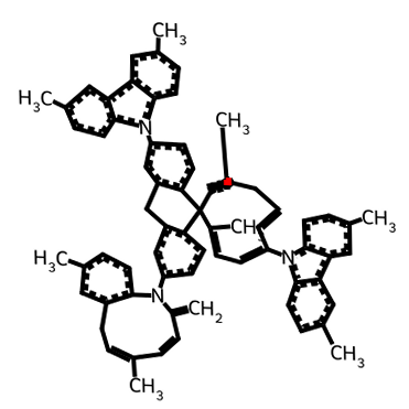 C=C1/C=C\C(C)=C/Cc2cc(C)ccc2N1c1ccc2c(c1)Cc1cc(-n3c4ccc(C)cc4c4cc(C)ccc43)ccc1C21/C(C)=C/C=C(n2c3ccc(C)cc3c3cc(C)ccc32)\C=C\Cc2cc(C)ccc21